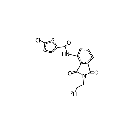 [2H]CCN1C(=O)c2cccc(NC(=O)c3ccc(Cl)s3)c2C1=O